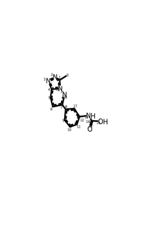 Cc1nnc2ccc(-c3cccc(NC(=O)O)c3)nn12